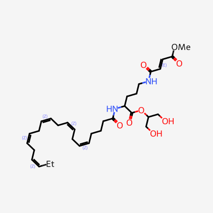 CC/C=C\C/C=C\C/C=C\C/C=C\C/C=C\CCCC(=O)NC(CCCNC(=O)/C=C/C(=O)OC)C(=O)OC(CO)CO